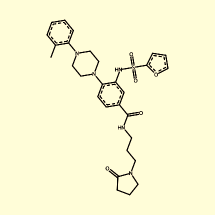 Cc1ccccc1N1CCN(c2ccc(C(=O)NCCCN3CCCC3=O)cc2NS(=O)(=O)c2ccco2)CC1